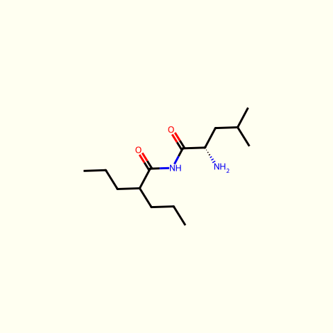 CCCC(CCC)C(=O)NC(=O)[C@@H](N)CC(C)C